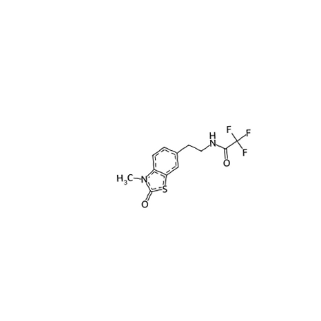 Cn1c(=O)sc2cc(CCNC(=O)C(F)(F)F)ccc21